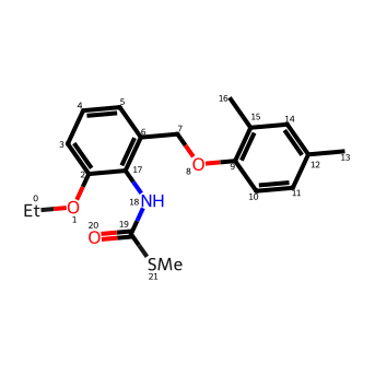 CCOc1cccc(COc2ccc(C)cc2C)c1NC(=O)SC